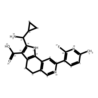 Cc1ccc(-c2cc3c(cn2)CCc2c-3[nH]c(C(N)C3CC3)c2C(=O)O)c(F)n1